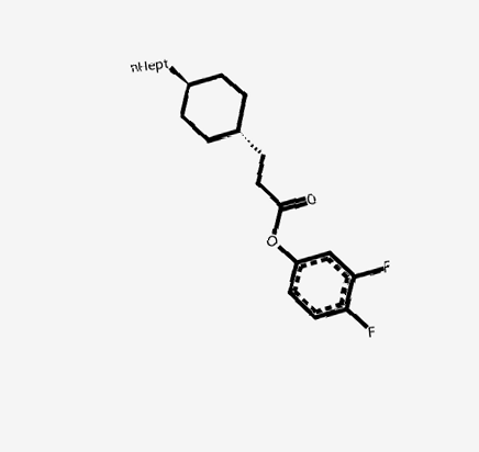 CCCCCCC[C@H]1CC[C@H](CCC(=O)Oc2ccc(F)c(F)c2)CC1